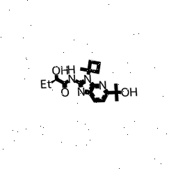 CC[C@@H](O)C(=O)Nc1nc2ccc(C(C)(C)O)nc2n1C1(C)CCC1